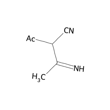 CC(=N)C(C#N)C(C)=O